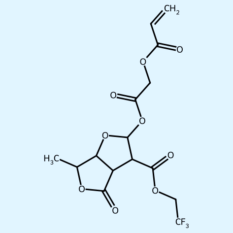 C=CC(=O)OCC(=O)OC1OC2C(C)OC(=O)C2C1C(=O)OCC(F)(F)F